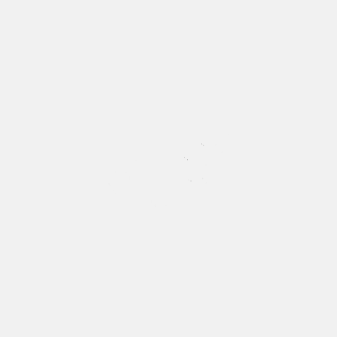 Cc1ccc(C(=O)NCc2ccc(Oc3cc(C(F)(F)F)ccc3F)cc2)c(N)n1